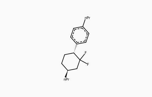 CCCc1ccc([C@H]2CC[C@H](CCC)CC2(F)F)cc1